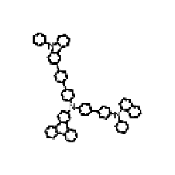 c1ccc(N(c2ccc(-c3ccc(N(c4ccc(-c5ccc(-c6ccc7c(c6)c6ccccc6n7-c6ccccc6)cc5)cc4)c4ccc5c6ccccc6c6ccccc6c5c4)cc3)cc2)c2cccc3ccccc23)cc1